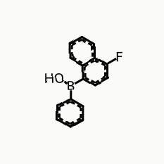 OB(c1ccccc1)c1ccc(F)c2ccccc12